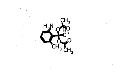 CC(=O)OC(C)(OC(C)=O)c1c(C)cccc1N